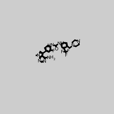 CN1CCN(Cc2ccc(NC(=O)Nc3ccc(-c4cn(C)c5ncnc(N)c45)cc3F)cc2C(F)(F)F)CC1